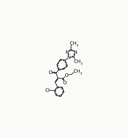 CCOC(=O)C(=Cc1ccccc1Cl)C(=O)c1ccc(-n2nc(C)nc2C)cc1